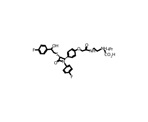 CC(C)[C@@H](NCCNC(=O)COc1ccc([C@@H]2[C@H](SCC(O)c3ccc(F)cc3)C(=O)N2c2ccc(F)cc2)cc1)C(=O)O